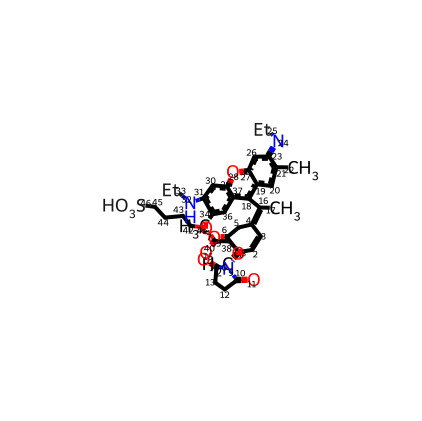 C=C(/C=C\C(CC(=O)ON1C(=O)CCC1=O)=C(/C)c1c2cc(C)/c(=N/CC)cc-2oc2cc(NCC)c(C)cc12)CC(=O)OCCCCS(=O)(=O)O